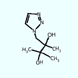 CC(C)(O)C(C)(O)Cn1ccnn1